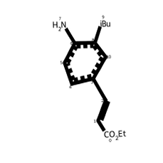 CCOC(=O)/C=C/c1ccc(N)c(C(C)CC)c1